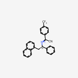 N#C/C(=N\[C@H](Cc1cccc2ccccc12)c1ccccc1)c1ccc(C(F)(F)F)cc1